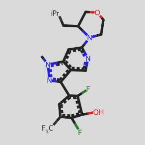 CC(C)CC1COCCN1c1cc2c(cn1)c(-c1cc(C(F)(F)F)c(F)c(O)c1F)nn2C